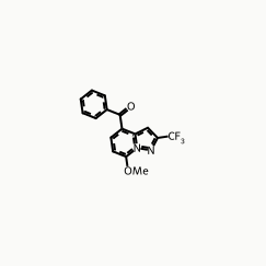 COc1ccc(C(=O)c2ccccc2)c2cc(C(F)(F)F)nn12